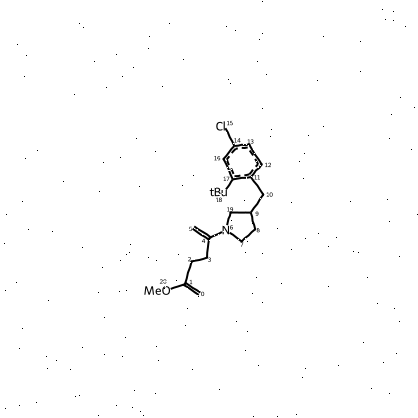 C=C(CCC(=C)N1CCC(Cc2ccc(Cl)cc2C(C)(C)C)C1)OC